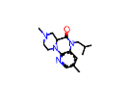 Cc1cnc2c(c1)N(CC(C)C)C(=O)C1CN(C)CCN21